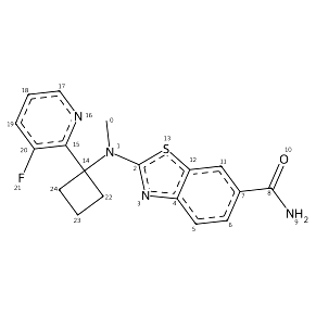 CN(c1nc2ccc(C(N)=O)cc2s1)C1(c2ncccc2F)CCC1